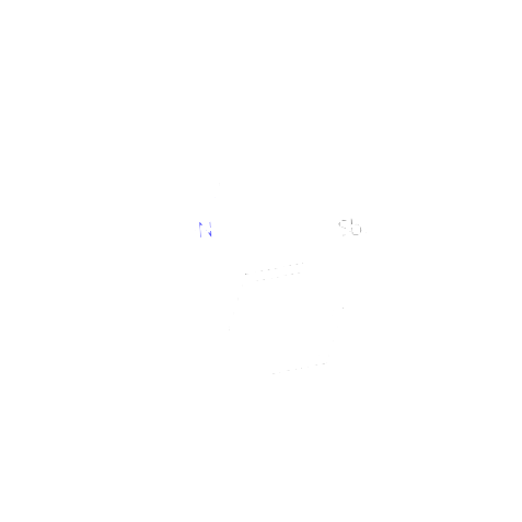 CC[N]c1ccccc1.[Sb]